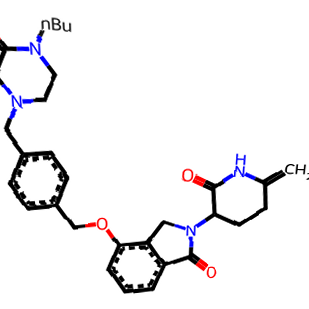 C=C1CCC(N2Cc3c(OCc4ccc(CN5CCN(CCCC)C(=O)C5)cc4)cccc3C2=O)C(=O)N1